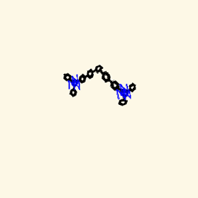 c1ccc(-c2nc(-c3ccccc3)nc(-c3ccc(-c4ccc(-c5cccc(-c6ccc(-c7ccc(-c8nc(-c9ccccc9)nc(-c9ccccc9)n8)cc7)cc6)c5)cc4)cc3)n2)cc1